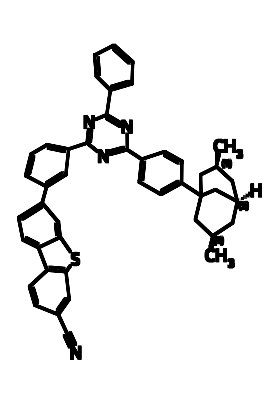 C[C@@H]1C[C@@H]2C[C@H](C)CC(c3ccc(-c4nc(-c5ccccc5)nc(-c5cccc(-c6ccc7c(c6)sc6cc(C#N)ccc67)c5)n4)cc3)(C1)C2